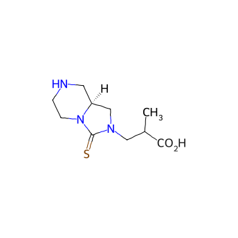 CC(CN1C[C@@H]2CNCCN2C1=S)C(=O)O